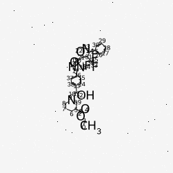 CCOC(=O)C1CCCN(C[C@@H](O)c2ccc(-c3noc(-c4onc(-c5ccccc5)c4C(F)(F)F)n3)cc2)C1